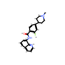 CN1CCC(c2ccc(C(=O)Nc3cccc4cccnc34)c(F)c2)CC1